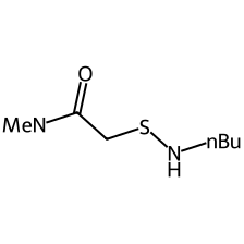 CCCCNSCC(=O)NC